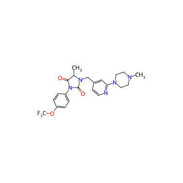 CC1C(=O)N(c2ccc(OC(F)(F)F)cc2)C(=O)N1Cc1ccnc(N2CCN(C)CC2)c1